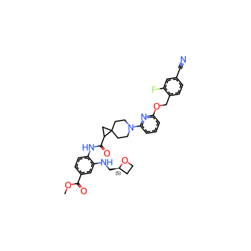 COC(=O)c1ccc(NC(=O)C2CC23CCN(c2cccc(OCc4ccc(C#N)cc4F)n2)CC3)c(NC[C@@H]2CCO2)c1